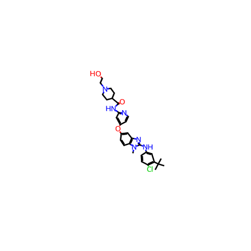 Cn1c(Nc2ccc(Cl)c(C(C)(C)C)c2)nc2cc(Oc3ccnc(NC(=O)C4CCN(CCO)CC4)c3)ccc21